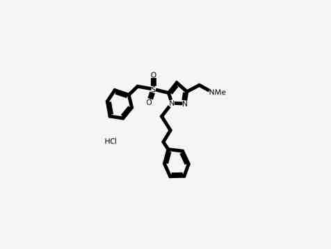 CNCc1cc(S(=O)(=O)Cc2ccccc2)n(CCCc2ccccc2)n1.Cl